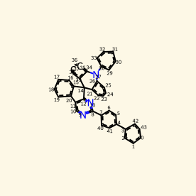 c1ccc(-c2ccc(-c3ncc4c(n3)C3(c5ccccc5-4)c4ccccc4N(c4ccccc4)c4ccccc43)cc2)cc1